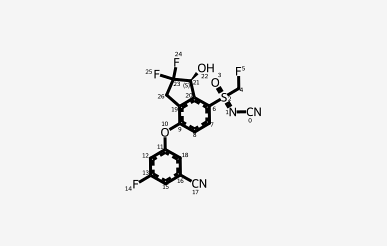 N#CN=S(=O)(CF)c1ccc(Oc2cc(F)cc(C#N)c2)c2c1[C@H](O)C(F)(F)C2